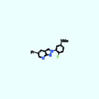 CNc1ccc(F)c(-n2cc3cc(C(C)C)cnc3n2)c1